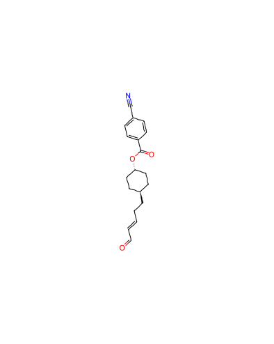 N#Cc1ccc(C(=O)O[C@H]2CC[C@H](CCC=CC=O)CC2)cc1